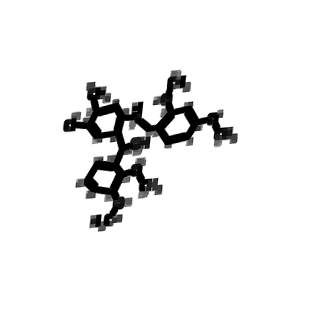 COc1ccc(CNc2cc(C)c(Cl)cc2C(O)c2cccc(OC)c2OC)c(OC)c1